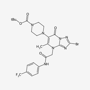 Cc1c(N2CCN(C(=O)OC(C)(C)C)CC2)c(=O)n2nc(Br)nc2n1CC(=O)Nc1ccc(C(F)(F)F)cc1